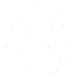 COc1ccc2[nH]cc(CC3SCNC3=O)c2c1